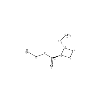 CC[C@@H]1CC[C@H]1C(=O)CCBr